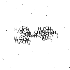 C=C(OCC(C)(COC(=O)C(C)(C)C)C(=O)NCCCN(CCCNC(=O)C(C)(COC(=O)C(C)(C)C)COC(=O)C(C)(C)N)C(C)(C)C)C(C)(C)C